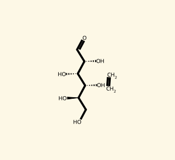 C=C.O=C[C@H](O)[C@@H](O)[C@H](O)[C@H](O)CO